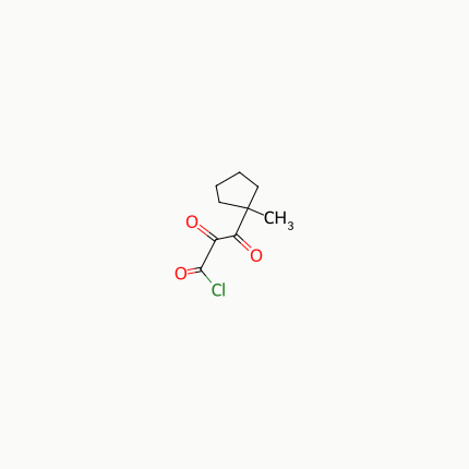 CC1(C(=O)C(=O)C(=O)Cl)CCCC1